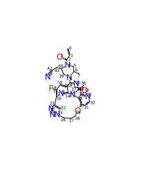 C=CC(=O)N1CC(C)N(c2nc(=O)n3c4nc(c(F)cc24)-c2cn(nn2)CCCOc2ccnc(C(C)C)c2-3)CC1CC#N